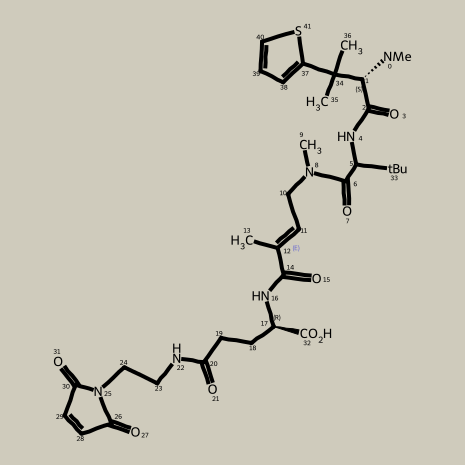 CN[C@H](C(=O)NC(C(=O)N(C)C/C=C(\C)C(=O)N[C@H](CCC(=O)NCCN1C(=O)C=CC1=O)C(=O)O)C(C)(C)C)C(C)(C)c1cccs1